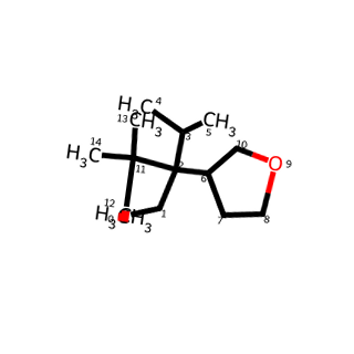 CCC(C(C)C)(C1CCOC1)C(C)(C)C